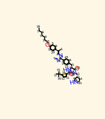 C=N/C(=N\C=C(/C)c1ccc(OCCCCCCC)cc1)c1ccc(C[C@H](NC(=O)c2ccc(C(C)(C)C)s2)C(=O)NC[C@@H]2CCNC2)cc1